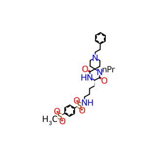 CCCN1C(=O)[C@H](CCCCNS(=O)(=O)c2ccc(S(C)(=O)=O)cc2)NC(=O)C12CCN(CCc1ccccc1)CC2